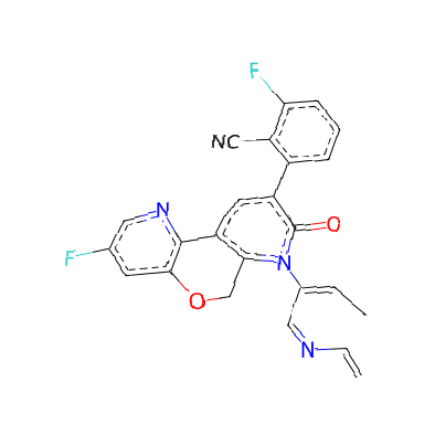 C=C/N=C\C(=C/C)n1c2c(cc(-c3cccc(F)c3C#N)c1=O)-c1ncc(F)cc1OC2